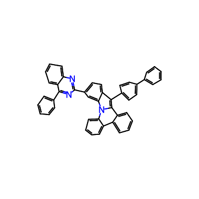 c1ccc(-c2ccc(-c3c4ccc(-c5nc(-c6ccccc6)c6ccccc6n5)cc4n4c5ccccc5c5ccccc5c34)cc2)cc1